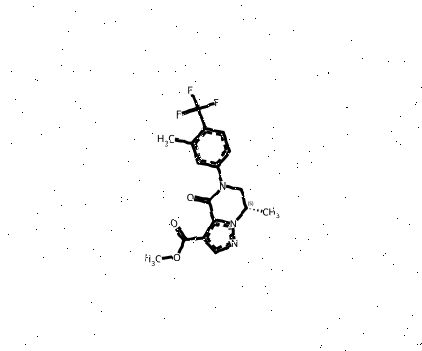 COC(=O)c1cnn2c1C(=O)N(c1ccc(C(F)(F)F)c(C)c1)C[C@@H]2C